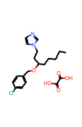 CCCCCC(CCn1ccnc1)OCc1ccc(Cl)cc1.O=C(O)C(=O)O